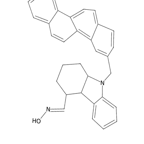 ON=CC1CCCC2C1c1ccccc1N2Cc1ccc2ccc3c4ccccc4ccc3c2c1